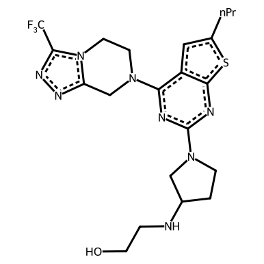 CCCc1cc2c(N3CCn4c(nnc4C(F)(F)F)C3)nc(N3CCC(NCCO)C3)nc2s1